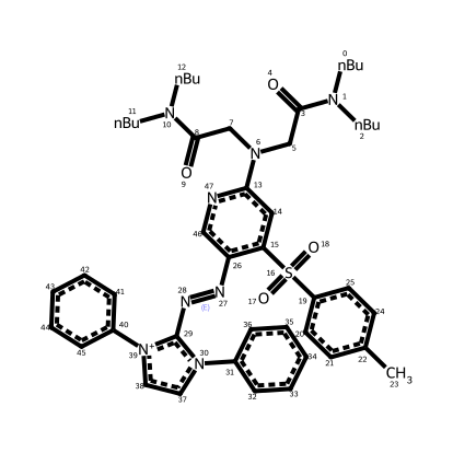 CCCCN(CCCC)C(=O)CN(CC(=O)N(CCCC)CCCC)c1cc(S(=O)(=O)c2ccc(C)cc2)c(/N=N/c2n(-c3ccccc3)cc[n+]2-c2ccccc2)cn1